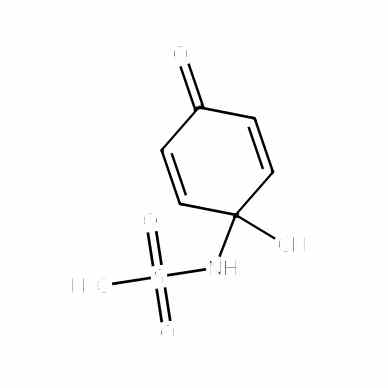 CC1(NS(C)(=O)=O)C=CC(=O)C=C1